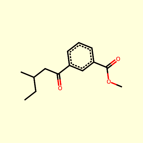 CCC(C)CC(=O)c1cccc(C(=O)OC)c1